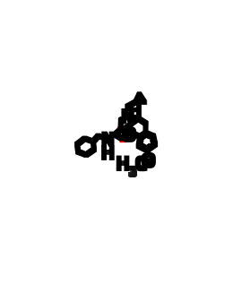 COc1ccc2c(c1)[C@]13CCN(CC4CC4)[C@H](C2)[C@]12CC[C@@](NCC1CCCCC1)(CO2)C3